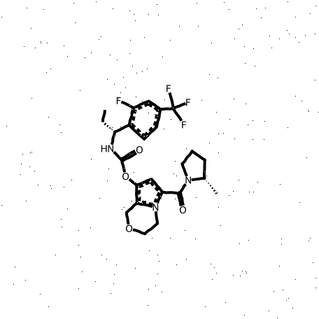 CC[C@@H](NC(=O)Oc1cc(C(=O)N2CCC[C@@H]2C)n2c1COCC2)c1ccc(C(F)(F)F)cc1F